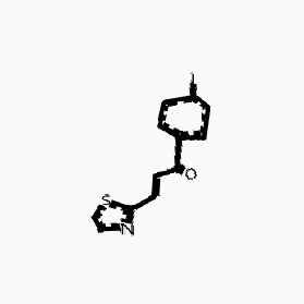 O=C(C=Cc1nccs1)c1ccc(I)cc1